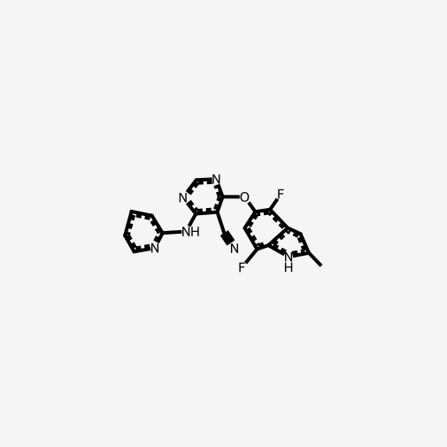 Cc1cc2c(F)c(Oc3ncnc(Nc4ccccn4)c3C#N)cc(F)c2[nH]1